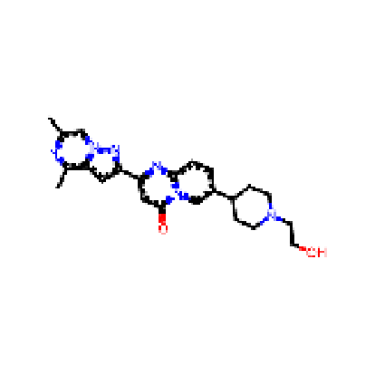 Cc1cn2nc(-c3cc(=O)n4cc(C5CCN(CCO)CC5)ccc4n3)cc2c(C)n1